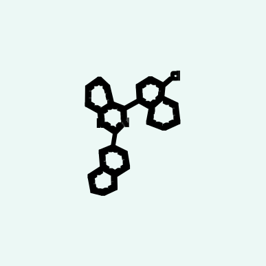 Clc1ccc(-c2nc(-c3ccc4ccccc4c3)nc3ccccc23)c2ccccc12